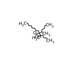 CCCCCCCCC(C(=O)O)(C(C)CCCC)C(C)CCCC